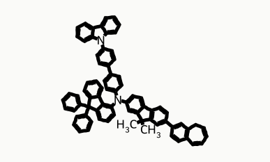 CC1(C)c2cc(-c3ccc4c(c3)CC=CC=C4)ccc2-c2ccc(N(c3ccc(-c4ccc(-n5c6ccccc6c6ccccc65)cc4)cc3)c3cccc4c3-c3ccccc3C4(c3ccccc3)c3ccccc3)cc21